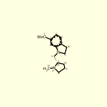 COc1ccc2c(c1)N(C[C@@H]1CCCN1C)CC2